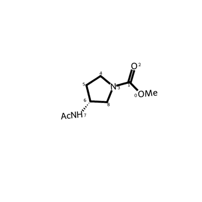 COC(=O)N1CC[C@@H](NC(C)=O)C1